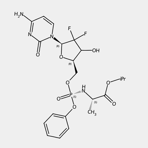 CC(C)OC(=O)[C@H](C)N[P@](=O)(OC[C@H]1O[C@@H](n2ccc(N)nc2=O)C(F)(F)C1O)Oc1ccccc1